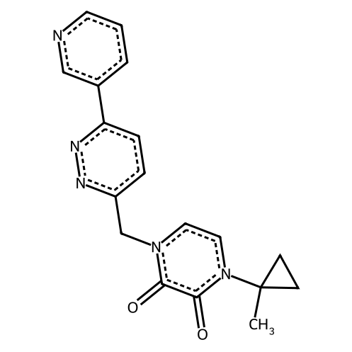 CC1(n2ccn(Cc3ccc(-c4cccnc4)nn3)c(=O)c2=O)CC1